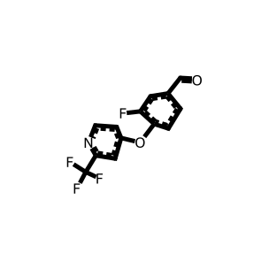 O=Cc1ccc(Oc2ccnc(C(F)(F)F)c2)c(F)c1